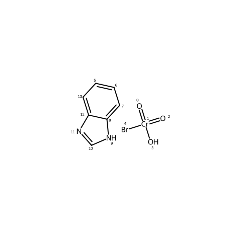 [O]=[Cr](=[O])([OH])[Br].c1ccc2[nH]cnc2c1